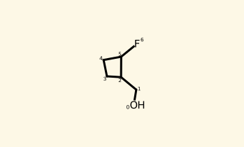 OCC1CCC1F